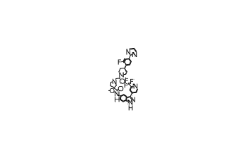 CO[C@@]1(C(=O)Nc2ccc3[nH]nc(-c4ccnc(C(F)(F)F)c4)c3c2)CCN(CC(=O)N2CC=C(c3ccc(-c4ncccn4)cc3F)CC2)C1